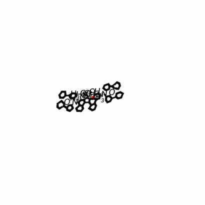 C[Si](C)(C)C1([Si](C)(C)C)c2cc(N(c3cccc(-c4ccccc4)c3)c3cccc4c3oc3ccccc34)c3ccccc3c2-c2c1c1ccc(N(c3cccc(-c4ccccc4)c3)c3cccc4c3oc3ccccc34)cc1c1ccccc21